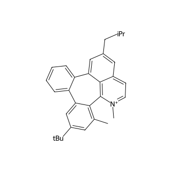 Cc1cc(C(C)(C)C)cc2c1-c1c3c(cc(CC(C)C)cc3cc[n+]1C)-c1ccccc1-2